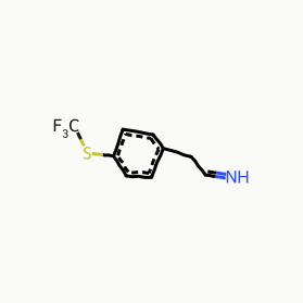 N=CCc1ccc(SC(F)(F)F)cc1